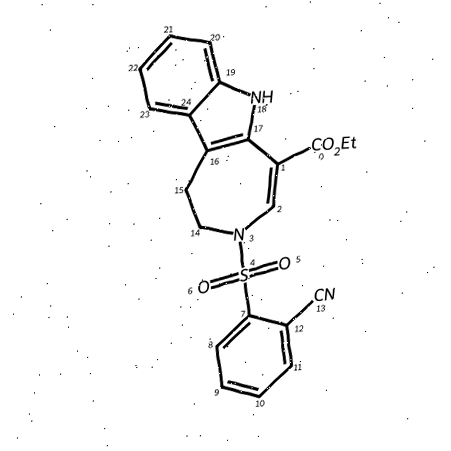 CCOC(=O)C1=CN(S(=O)(=O)c2ccccc2C#N)CCc2c1[nH]c1ccccc21